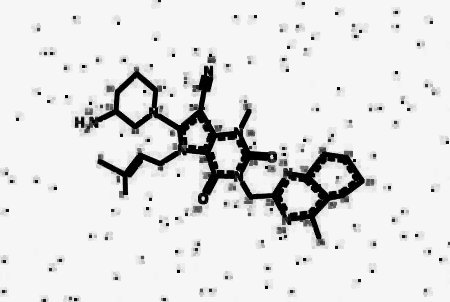 CC(C)=CCn1c(N2CCCC(N)C2)c(C#N)c2c1c(=O)n(Cc1nc(C)c3ccccc3n1)c(=O)n2C